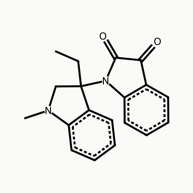 CCC1(N2C(=O)C(=O)c3ccccc32)CN(C)c2ccccc21